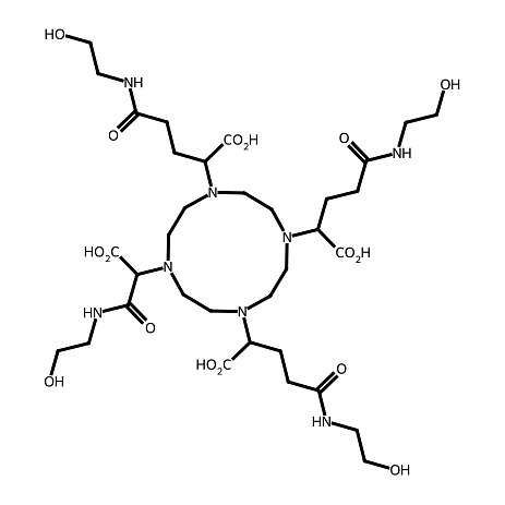 O=C(CCC(C(=O)O)N1CCN(C(CCC(=O)NCCO)C(=O)O)CCN(C(C(=O)O)C(=O)NCCO)CCN(C(CCC(=O)NCCO)C(=O)O)CC1)NCCO